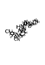 Cc1cc(Cl)ccc1C1(CC#N)CN(C2=CCCn3nc(Nc4cnn(CC(=O)N5CCN(C)CC5)c4)nc32)C1